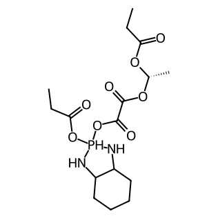 CCC(=O)O[C@H](C)OC(=O)C(=O)O[PH]1(OC(=O)CC)NC2CCCCC2N1